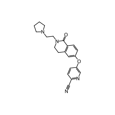 N#Cc1ccc(Oc2ccc3c(c2)CCN(CCN2CCCC2)C3=O)cn1